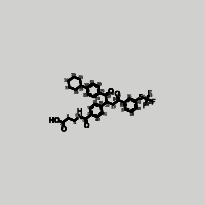 O=C(O)CCNC(=O)c1ccc(C(CC(=O)c2cccc(SC(F)(F)F)c2)C(=O)c2ccc(C3CCCCC3)cc2)cc1